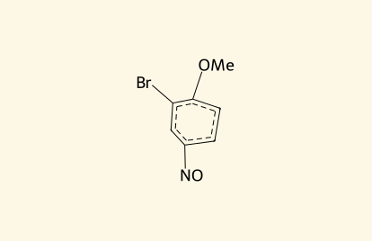 COc1ccc(N=O)cc1Br